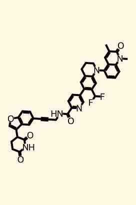 Cc1cc2c(N3CCCc4cc(-c5ccc(C(=O)NCC#Cc6ccc7occ(C8CCC(=O)NC8=O)c7c6)nc5)c(C(F)F)cc43)cccc2n(C)c1=O